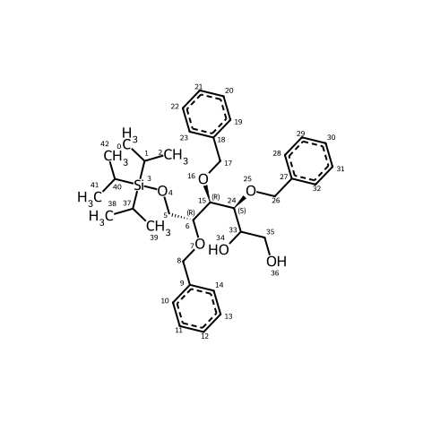 CC(C)[Si](OC[C@@H](OCc1ccccc1)[C@@H](OCc1ccccc1)[C@@H](OCc1ccccc1)C(O)CO)(C(C)C)C(C)C